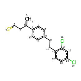 C=C(CC=S)c1ccc(CCc2ccc(Cl)cc2Cl)cc1